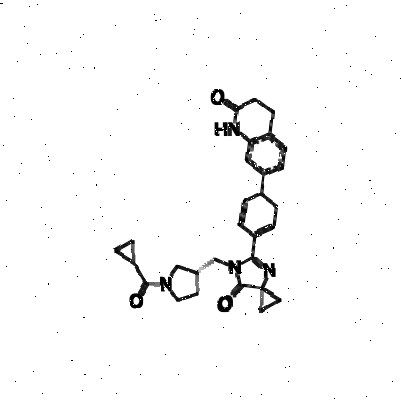 O=C1CCc2ccc(C3C=CC(C4=NC5(CC5)C(=O)N4C[C@@H]4CCN(C(=O)C5CC5)C4)=CC3)cc2N1